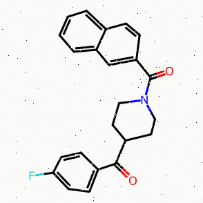 O=C(c1ccc(F)cc1)C1CCN(C(=O)c2ccc3ccccc3c2)CC1